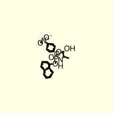 CC(NP(=O)(Oc1ccc([N+](=O)[O-])cc1)Oc1cccc2ccccc12)C(=O)O